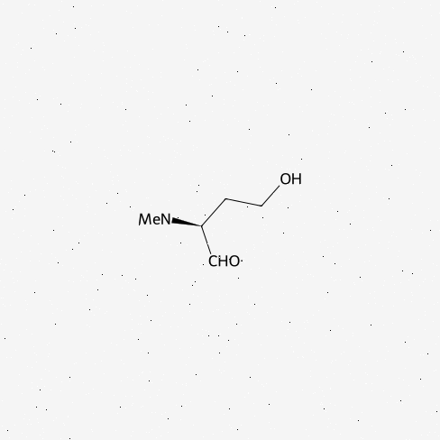 CN[C@H]([C]=O)CCO